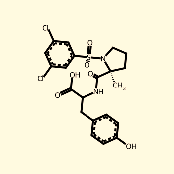 C[C@@]1(C(=O)NC(Cc2ccc(O)cc2)C(=O)O)CCCN1S(=O)(=O)c1cc(Cl)cc(Cl)c1